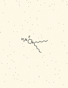 CCCCCCCC(CCCCCC)N1CC[C@H](N)[C@H](F)C1